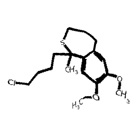 COc1cc2c(cc1OC)C(C)(CCCCCl)SCCC2